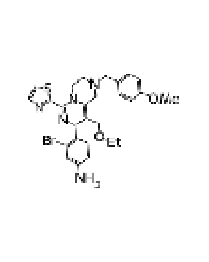 CCOCC1=C2CN(Cc3ccc(OC)cc3)CCN2C(c2nccs2)=NC1c1ccc(N)cc1Br